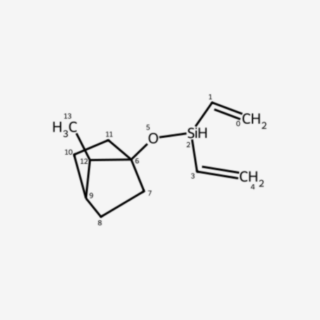 C=C[SiH](C=C)OC12CCC(CC1)C2C